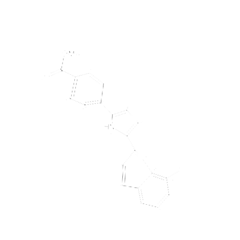 COC(=O)c1ccc(-c2ccc(-c3ccc4cccc(C)c4c3)[nH]2)cc1